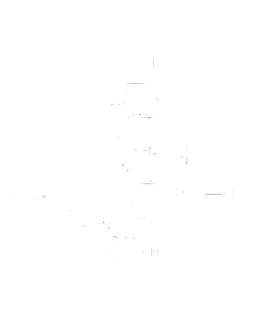 CC(=O)OCCn1cc(-c2cc(NS(=O)(=O)C(C)C)nc(Oc3ccc(F)cc3F)n2)cc(C)c1=O